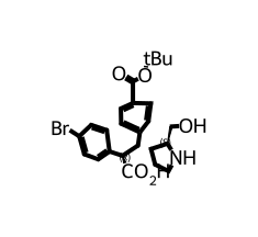 CC(C)(C)OC(=O)c1ccc(C[C@@H](C(=O)O)c2ccc(Br)cc2)cc1.OC[C@@H]1CCCN1